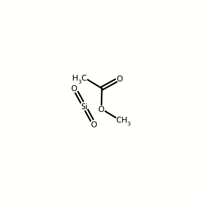 COC(C)=O.O=[Si]=O